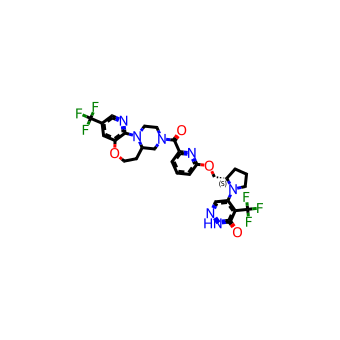 O=C(c1cccc(OC[C@@H]2CCCN2c2cn[nH]c(=O)c2C(F)(F)F)n1)N1CCN2c3ncc(C(F)(F)F)cc3OCCC2C1